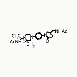 CC(=O)NCC1CN(c2ccc(N3CCN(C(NC(C)=O)C(Cl)(Cl)Cl)[C@@](C)(F)C3)cc2)C(=O)O1